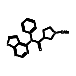 CON1CCC(C(=O)N(c2ccccc2)c2ncnc3sccc23)C1